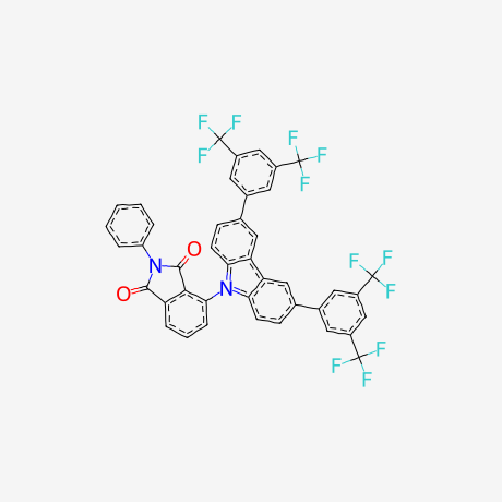 O=C1c2cccc(-n3c4ccc(-c5cc(C(F)(F)F)cc(C(F)(F)F)c5)cc4c4cc(-c5cc(C(F)(F)F)cc(C(F)(F)F)c5)ccc43)c2C(=O)N1c1ccccc1